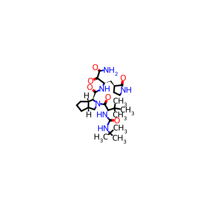 CC(C)(C)NC(=O)N[C@H](C(=O)N1C[C@@H]2CCC[C@@H]2[C@H]1C(=O)N[C@@H](C[C@@H]1CCNC1=O)C(=O)C(N)=O)C(C)(C)C